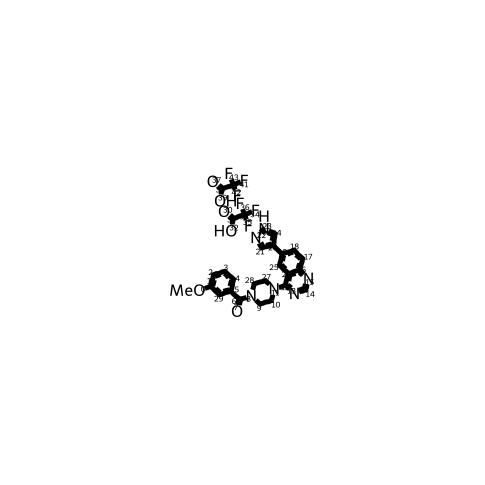 COc1cccc(C(=O)N2CCN(c3ncnc4ccc(-c5cn[nH]c5)cc34)CC2)c1.O=C(O)C(F)(F)F.O=C(O)C(F)(F)F